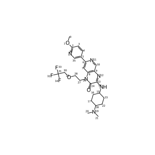 COc1ccc(-c2cc3c(cn2)nc(NC2CCC(N(C)C)CC2)c(=O)n3CCOCC(F)(F)F)cn1